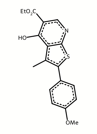 CCOC(=O)c1cnc2sc(-c3ccc(OC)cc3)c(C)c2c1O